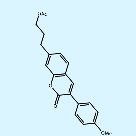 COc1ccc(-c2cc3ccc(CCCOC(C)=O)cc3oc2=O)cc1